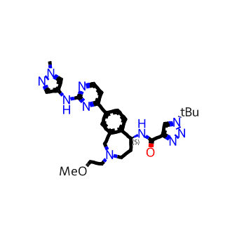 COCCN1CC[C@H](NC(=O)c2cn(C(C)(C)C)nn2)c2ccc(-c3ccnc(Nc4cnn(C)c4)n3)cc2C1